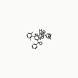 Cc1cccc(C)c1-c1cc(C(=O)c2ccccc2)nc(NS(=O)(=O)c2cnn(C)c2)n1